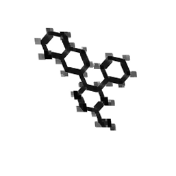 Nc1nnc(-c2ccc3nccnc3c2)c(-c2ccccc2)n1